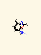 Cc1nc2c(C)cccc2o1.N